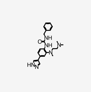 CN(C)CCN(C)c1cc(-c2cn[nH]c2)ccc1NC(=O)NCc1ccccc1